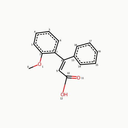 COc1ccccc1/C(=C/C(=O)O)c1ccccc1